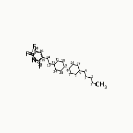 CCCCC[C@H]1CC[C@H](C2CCC(CCc3cc(F)c(F)nc3F)CC2)CC1